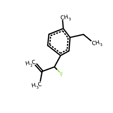 C=C(C)C(F)c1ccc(C)c(CC)c1